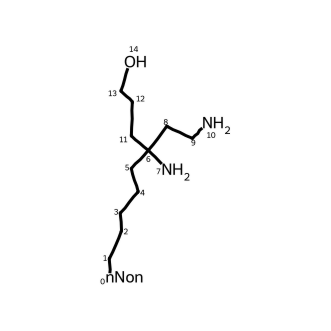 CCCCCCCCCCCCCCC(N)(CCN)CCCO